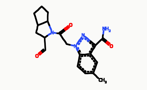 Cc1ccc2c(c1)c(C(N)=O)nn2CC(=O)N1C(C=O)CC2CCCC21